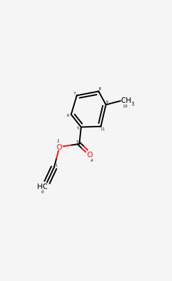 C#COC(=O)c1cccc(C)c1